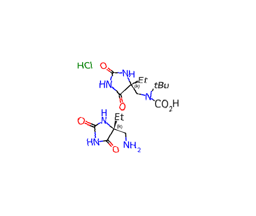 CC[C@]1(CN(C(=O)O)C(C)(C)C)NC(=O)NC1=O.CC[C@]1(CN)NC(=O)NC1=O.Cl